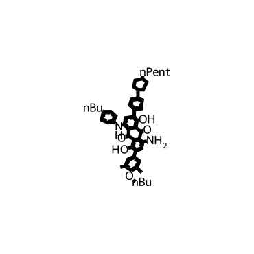 CCCCCC1CCC(c2ccc(-c3cc(Nc4ccc(CCCC)cc4)c4c(c3O)C(=O)c3c(N)cc(-c5cc(C)c(OCCCC)c(C)c5)c(O)c3C4=O)cc2)CC1